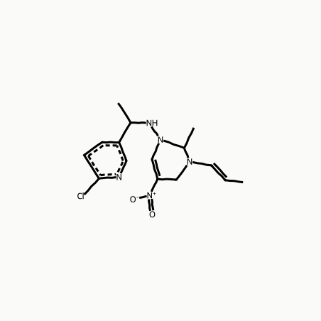 CC=CN1CC([N+](=O)[O-])=CN(NC(C)c2ccc(Cl)nc2)C1C